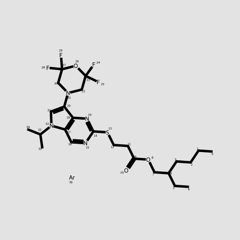 CCCCC(CC)COC(=O)CCSc1ncc2c(n1)c(N1CC(F)(F)OC(F)(F)C1)cn2C(C)C.[Ar]